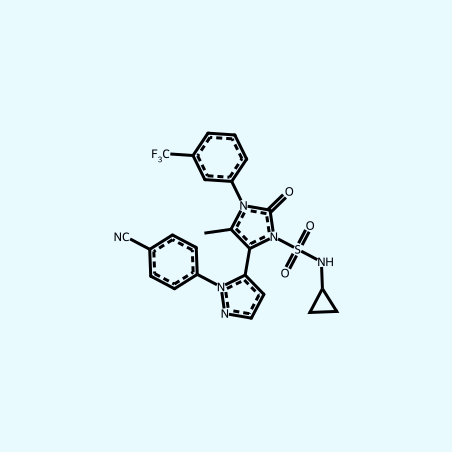 Cc1c(-c2ccnn2-c2ccc(C#N)cc2)n(S(=O)(=O)NC2CC2)c(=O)n1-c1cccc(C(F)(F)F)c1